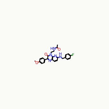 COc1ccc(-c2nc3ccc(NCc4ccc(F)cc4)nc3n(CCNC(C)=O)c2=O)cc1